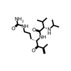 C=C(C)C(=O)[C@H](CCCNC(N)=O)NC(=O)[C@@H](NC(C)C)C(C)C